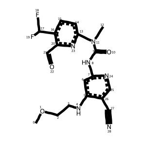 COCCNc1cc(NC(=O)N(C)c2ccc(C(F)F)c(C=O)n2)ncc1C#N